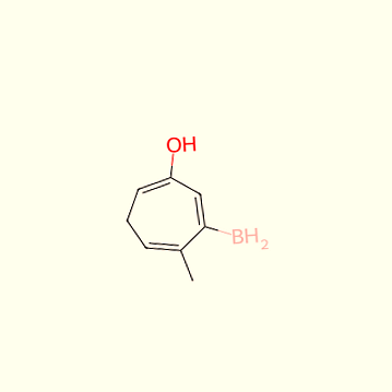 BC1=CC(O)=CCC=C1C